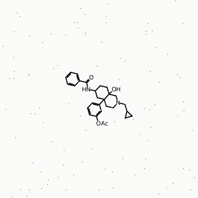 CC(=O)Oc1cccc(C23CCN(CC4CC4)CC2(O)CCC(NC(=O)c2ccccc2)C3)c1